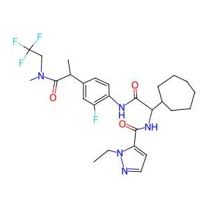 CCn1nccc1C(=O)NC(C(=O)Nc1ccc(C(C)C(=O)N(C)CC(F)(F)F)cc1F)C1CCCCCC1